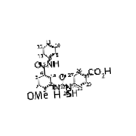 COc1ccc(C(=O)Nc2ccccc2)cc1NC(=O)N(S)c1ccc(C(=O)O)cc1